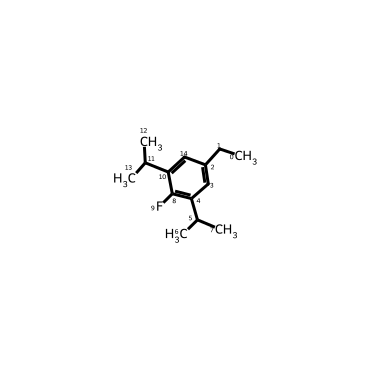 CCc1cc(C(C)C)c(F)c(C(C)C)c1